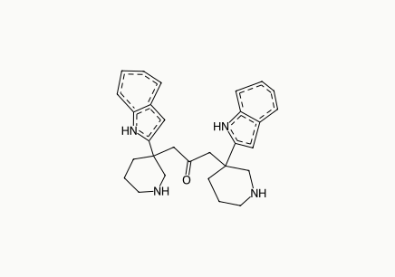 O=C(CC1(c2cc3ccccc3[nH]2)CCCNC1)CC1(c2cc3ccccc3[nH]2)CCCNC1